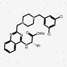 COC(=O)[C@@H](Nc1nc(CN2CCN(Cc3cc(Cl)cc(Cl)c3)CC2)nc2ccccc12)C(C)C